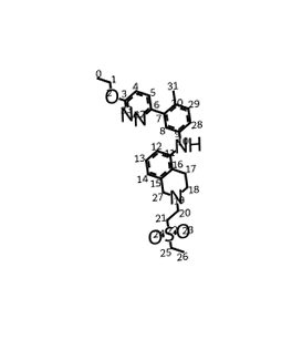 CCOc1ccc(-c2cc(Nc3cccc4c3CCN(CCS(=O)(=O)CC)C4)ccc2C)nn1